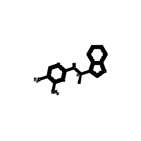 C[C@@H](Nc1ncc(C(F)(F)F)c(N)n1)c1coc2ccccc12